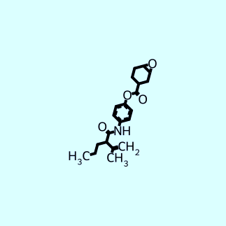 C=C(C)C(CCC)C(=O)Nc1ccc(OC(=O)C2CCC3OC3C2)cc1